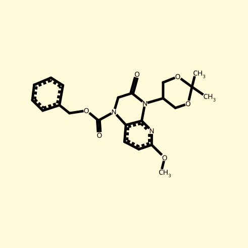 COc1ccc2c(n1)N(C1COC(C)(C)OC1)C(=O)CN2C(=O)OCc1ccccc1